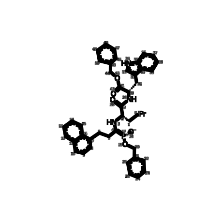 CC(C)C[C@H](N/C(CCc1cccc2ccccc12)=[P+](\[O-])OCc1ccccc1)C(=O)N[C@@H](Cc1c[nH]c2ccccc12)C(=O)OCc1ccccc1